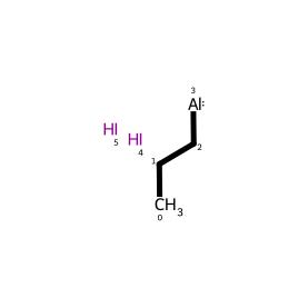 CC[CH2][Al].I.I